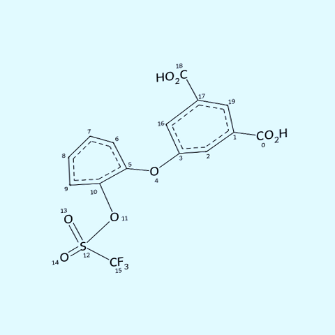 O=C(O)c1cc(Oc2ccccc2OS(=O)(=O)C(F)(F)F)cc(C(=O)O)c1